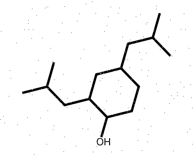 CC(C)CC1CCC(O)C(CC(C)C)C1